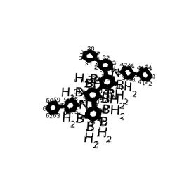 Bc1c(B)c(B)c2c(c1B)c1c(B)c(-c3c(B)c(B)c4c(c3B)c3cc(-c5ccccc5)ccc3n4-c3ccc(-c4ccccc4)cc3)c(B)c(B)c1n2-c1ccc(-c2ccccc2)cc1